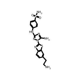 NCCc1ccc2nc(-n3nc(Nc4ccc(S(N)(=O)=O)cc4)nc3N)sc2c1